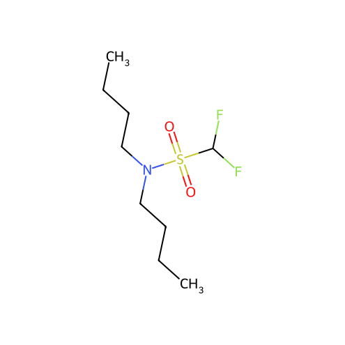 CCCCN(CCCC)S(=O)(=O)C(F)F